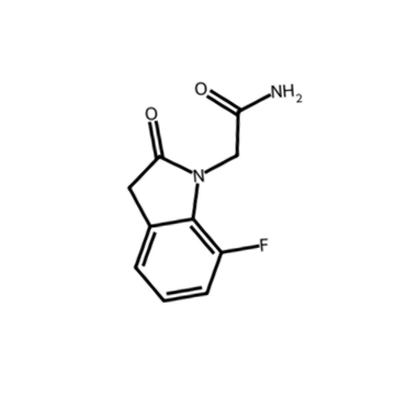 NC(=O)CN1C(=O)Cc2cccc(F)c21